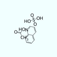 CC(=O)O.O=S(=O)(O)O.c1ccc2ncccc2c1